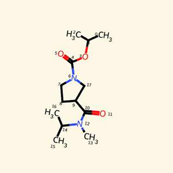 CC(C)OC(=O)N1CCC(C(=O)N(C)C(C)C)C1